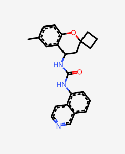 Cc1ccc2c(c1)C(NC(=O)Nc1cccc3cnccc13)CC1(CCC1)O2